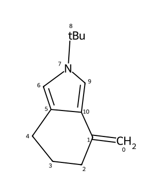 C=C1CCCc2cn(C(C)(C)C)cc21